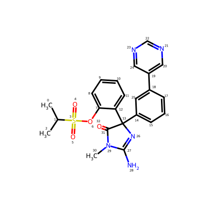 CC(C)S(=O)(=O)Oc1ccccc1C1(c2cccc(-c3cncnc3)c2)N=C(N)N(C)C1=O